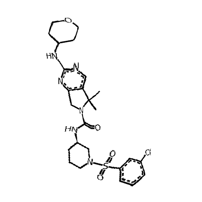 CC1(C)c2cnc(NC3CCOCC3)nc2CN1C(=O)N[C@@H]1CCCN(S(=O)(=O)c2cccc(Cl)c2)C1